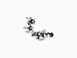 Nc1ncnc2c1ncn2[C@@H]1O[C@H](COS(=O)(=O)NC2=C(C(=O)O)N3C(=O)[C@@H](NC(=O)Cc4cccs4)[C@H]3SC2)[C@@H](O)[C@H]1O